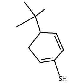 CC(C)(C)C1C=CC(S)=CC1